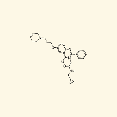 O=C(Cn1c(-c2ccccc2)nc2ccc(OCCCN3CC=CCC3)cc2c1=O)NCC1CC1